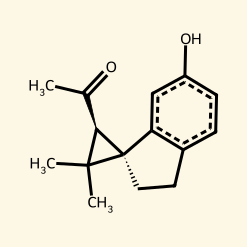 CC(=O)[C@@H]1C(C)(C)[C@@]12CCc1ccc(O)cc12